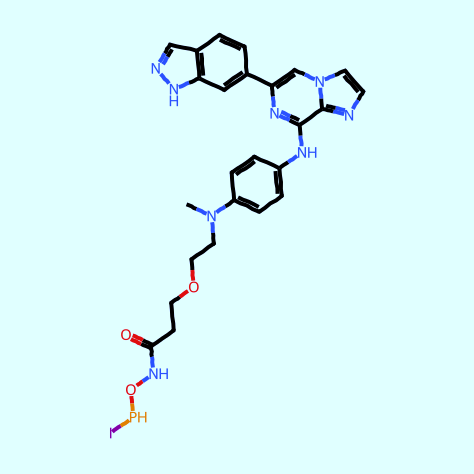 CN(CCOCCC(=O)NOPI)c1ccc(Nc2nc(-c3ccc4cn[nH]c4c3)cn3ccnc23)cc1